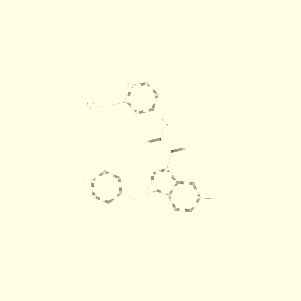 CCOc1ccc2c(c1)c(C(=O)C(=O)Nc1ccnc(OC)c1)c(C)n2Cc1ccc(Cl)cc1